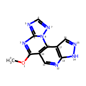 COc1nc2ncnn2c2c1cnc1[nH]ncc12